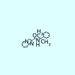 CC(C)(NC(=O)c1cn2ccccc2n1)c1ccccc1